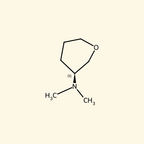 CN(C)[C@H]1CCCOC1